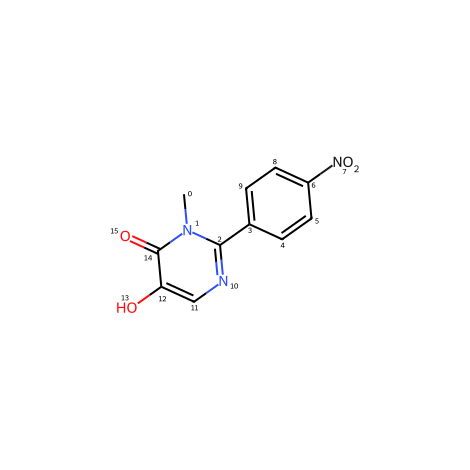 Cn1c(-c2ccc([N+](=O)[O-])cc2)ncc(O)c1=O